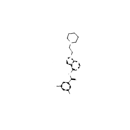 CC(C)(C)c1cc(C(=O)Nc2ncnc3c2cnn3CCN2CCCCC2)cc(C(C)(C)C)c1.Cl